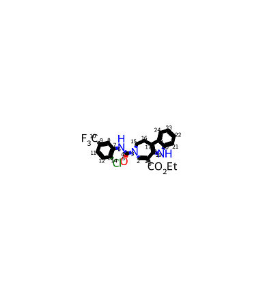 CCOC(=O)C1=CN(C(=O)Nc2cc(C(F)(F)F)ccc2Cl)CCc2c1[nH]c1ccccc21